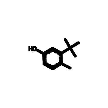 Cc1ccc(O)cc1C(C)(C)C